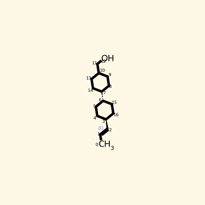 C/C=C/[C@H]1CC[C@H](C2CCC(CO)CC2)CC1